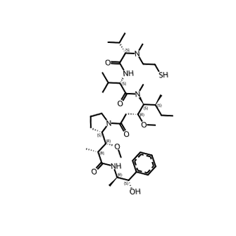 CC[C@H](C)[C@@H]([C@@H](CC(=O)N1CCC[C@H]1[C@H](OC)[C@@H](C)C(=O)N[C@H](C)[C@@H](O)c1ccccc1)OC)N(C)C(=O)[C@@H](NC(=O)[C@H](C(C)C)N(C)CCS)C(C)C